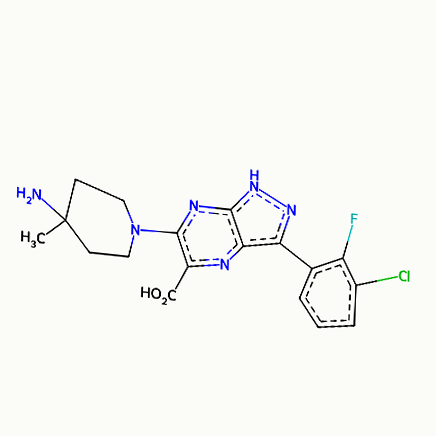 CC1(N)CCN(c2nc3[nH]nc(-c4cccc(Cl)c4F)c3nc2C(=O)O)CC1